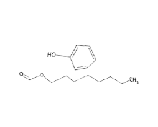 CCCCCCCCOC=O.Oc1ccccc1